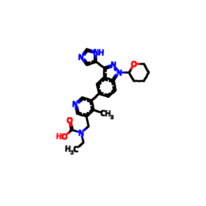 CCN(Cc1cncc(-c2ccc3c(c2)c(-c2cnc[nH]2)nn3C2CCCCO2)c1C)C(=O)O